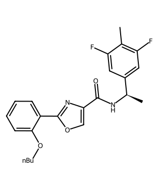 CCCCOc1ccccc1-c1nc(C(=O)N[C@H](C)c2cc(F)c(C)c(F)c2)co1